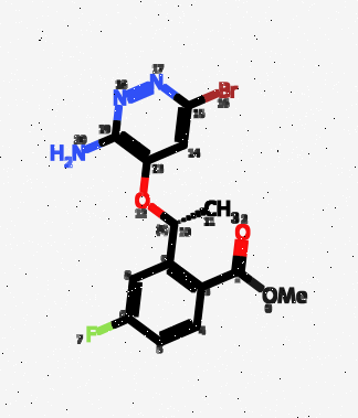 COC(=O)c1ccc(F)cc1[C@@H](C)Oc1cc(Br)nnc1N